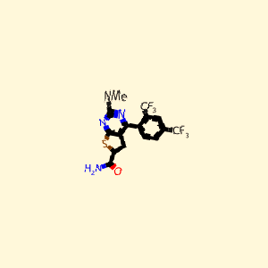 CNc1nc2c(c(-c3ccc(C(F)(F)F)cc3C(F)(F)F)n1)CC(C(N)=O)S2